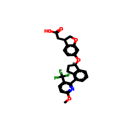 COc1ccc(C(F)(F)F)c(-c2cccc3c2CC[C@H]3Oc2ccc3c(c2)OCC3CC(=O)O)n1